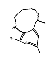 Cc1cc(Br)c2c(c1)C(C)SCCCN2